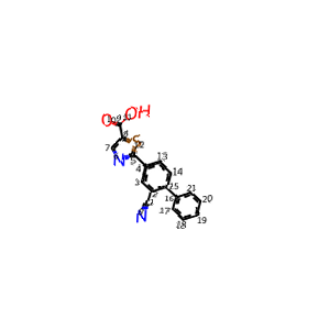 N#Cc1cc(-c2ncc(C(=O)O)s2)ccc1-c1ccccc1